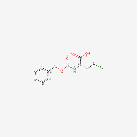 O=C(N[C@@H](CCF)C(=O)O)OCc1ccccc1